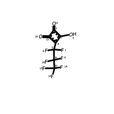 O=c1c(O)c(C(F)(F)C(F)(F)C(F)(F)F)c1=O